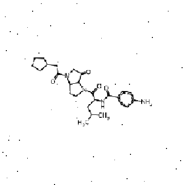 CC(C)CC(NC(=O)c1ccc(N)cc1)C(=O)N1CCC2C1C(=O)CN2C(=O)CC1CCCC1